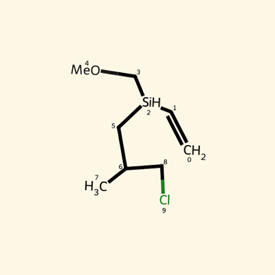 C=C[SiH](COC)CC(C)CCl